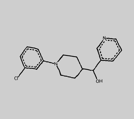 OC(c1cccnc1)C1CCN(c2cccc(Cl)c2)CC1